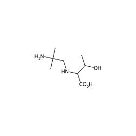 CC(O)C(NCC(C)(C)N)C(=O)O